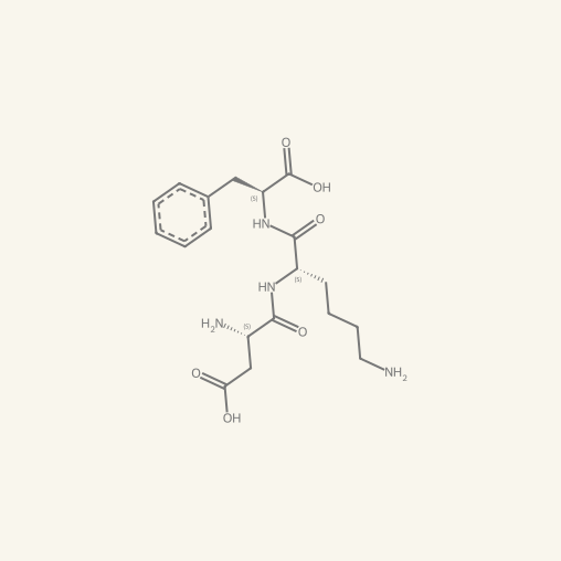 NCCCC[C@H](NC(=O)[C@@H](N)CC(=O)O)C(=O)N[C@@H](Cc1ccccc1)C(=O)O